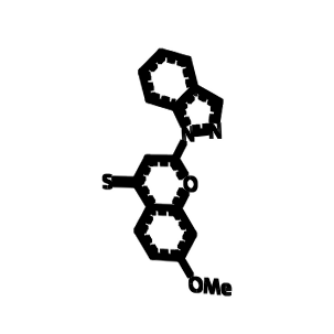 COc1ccc2c(=S)cc(-n3ncc4ccccc43)oc2c1